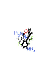 Cc1c(F)cc(N)cc1[C@@]1(C(F)F)N=C(N)O[C@@H]2CC21